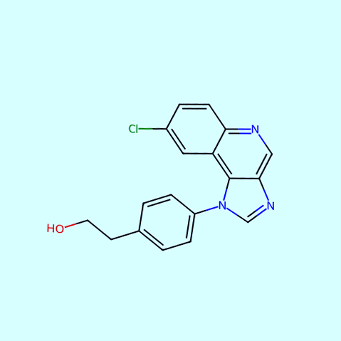 OCCc1ccc(-n2cnc3cnc4ccc(Cl)cc4c32)cc1